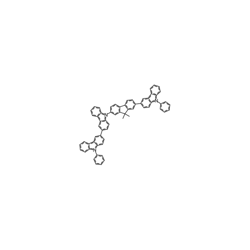 CC1(C)c2cc(-c3ccc4c(c3)c3ccccc3n4-c3ccccc3)ccc2-c2ccc(-n3c4ccccc4c4cc(-c5ccc6c(c5)c5ccccc5n6-c5ccccc5)ccc43)cc21